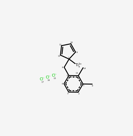 Cc1cccc(C[C]2([Ti+3])C=CC=C2)c1C.[Cl-].[Cl-].[Cl-]